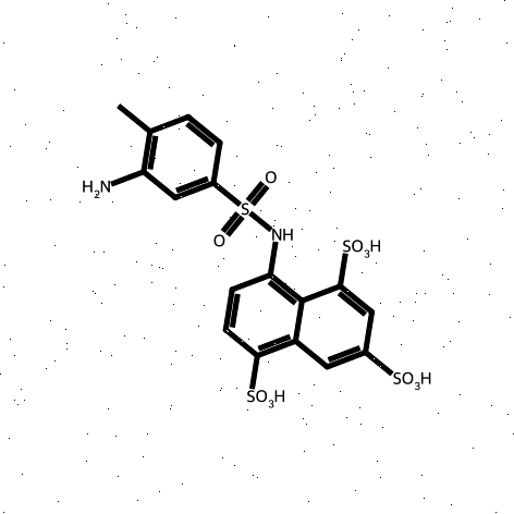 Cc1ccc(S(=O)(=O)Nc2ccc(S(=O)(=O)O)c3cc(S(=O)(=O)O)cc(S(=O)(=O)O)c23)cc1N